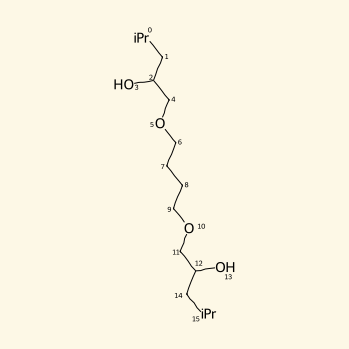 CC(C)CC(O)COCCCCOCC(O)CC(C)C